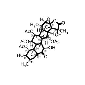 CC(=O)O[C@@H]1[C@H]2[C@H]3[C@H]([C@H](OC(C)=O)[C@H](OC(C)=O)[C@]2(C)[C@H]2[C@H](C)[C@H]4O[C@]45OC(=O)[C@@](C)(O)[C@]5(C)[C@H]12)[C@]1(C)[C@H](C[C@H](C)[C@@H](O)[C@@H]1OC(C)=O)C(=O)[C@@H]3O